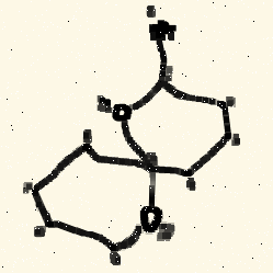 CCCC1CCCC2(CCCCO2)O1